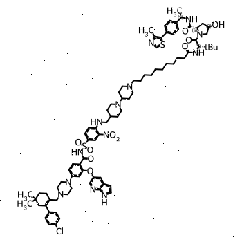 Cc1ncsc1-c1ccc([C@H](C)NC(=O)[C@@H]2C[C@@H](O)CN2C(=O)[C@@H](NC(=O)CCCCCCCCCCN2CCC(N3CCC(CNc4ccc(S(=O)(=O)NC(=O)c5ccc(N6CCN(CC7=C(c8ccc(Cl)cc8)CC(C)(C)CC7)CC6)cc5Oc5cnc6[nH]ccc6c5)cc4[N+](=O)[O-])CC3)CC2)C(C)(C)C)cc1